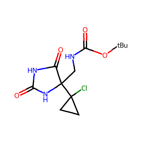 CC(C)(C)OC(=O)NCC1(C2(Cl)CC2)NC(=O)NC1=O